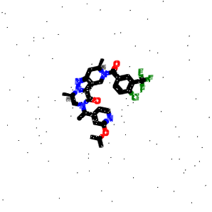 CC(C)Oc1cc(C(C)N2C[C@@H](C)n3nc4c(c3C2=O)CN(C(=O)c2ccc(Cl)c(C(F)(F)F)c2)[C@H](C)C4)ccn1